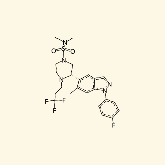 Cc1cc2c(cnn2-c2ccc(F)cc2)cc1[C@H]1CN(S(=O)(=O)N(C)C)CCN1CCC(F)(F)F